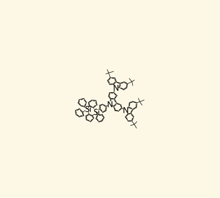 CC(C)(C)c1ccc2c(c1)c1cc(C(C)(C)C)ccc1n2-c1ccc2c(c1)c1cc(-n3c4ccc(C(C)(C)C)cc4c4cc(C(C)(C)C)ccc43)ccc1n2-c1ccc([Si]2(c3ccccc3)c3ccccc3[Si](c3ccccc3)(c3ccccc3)c3ccccc32)cc1